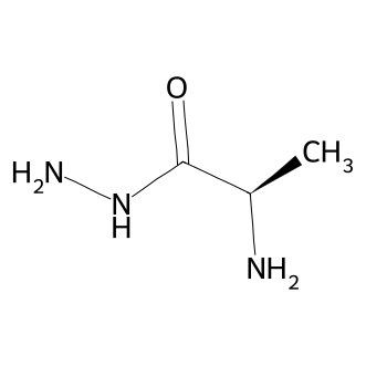 C[C@@H](N)C(=O)NN